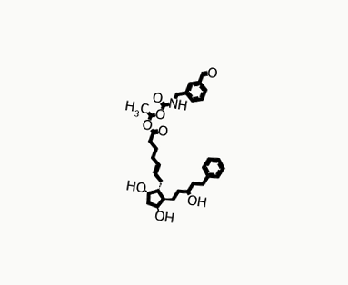 CC(OC(=O)CCCC=CC[C@@H]1[C@@H](CCC(O)CCc2ccccc2)[C@H](O)C[C@@H]1O)OC(=O)NCc1cccc(C=O)c1